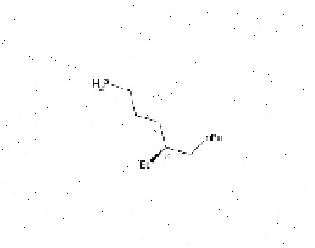 CCCCC[C@@H](CC)CCCP